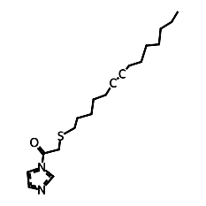 CCCCCCCCCCCCCCSCC(=O)n1ccnc1